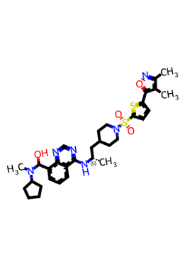 Cc1noc(-c2ccc(S(=O)(=O)N3CCC(C[C@H](C)Nc4ncnc5c(C(O)N(C)C6CCCC6)cccc45)CC3)s2)c1C